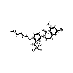 COCCOCOc1ccc(N2CCc3cc(Br)cc(OC)c3C2=O)cc1NS(C)(=O)=O